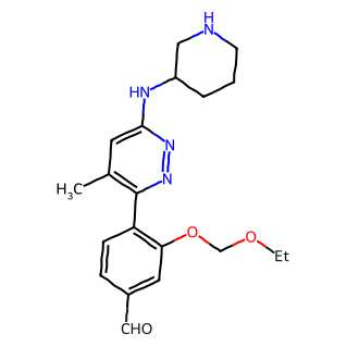 CCOCOc1cc(C=O)ccc1-c1nnc(NC2CCCNC2)cc1C